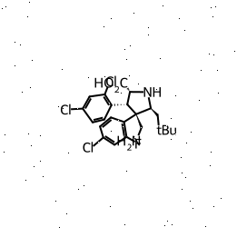 CC(C)(C)C[C@@H]1N[C@@H](C(=O)O)[C@@H](c2ccc(Cl)cc2Cl)[C@@]1(CN)c1ccc(Cl)cc1F